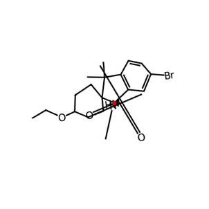 CCOC1CCC2(CC1)C(C)(C)c1ccc(Br)cc1C21NC(=O)N(C)C1=O